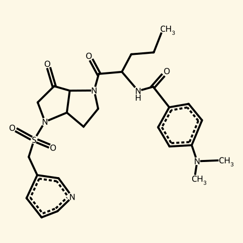 CCCC(NC(=O)c1ccc(N(C)C)cc1)C(=O)N1CCC2C1C(=O)CN2S(=O)(=O)Cc1cccnc1